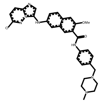 COc1cc2ccc(Nc3cnc4ccc(Cl)nn34)cc2cc1C(=O)Nc1ccc(CN2CCN(C)CC2)cc1